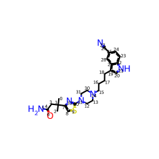 CC(C)(CC(N)=O)c1csc(N2CCN(CCCCc3c[nH]c4ccc(C#N)cc34)CC2)n1